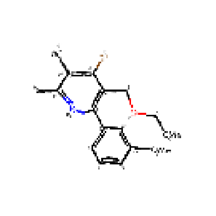 COCOCc1c(-c2cccc(OC)c2)nc(C)c(C#N)c1S